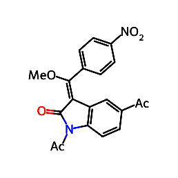 CO/C(=C1\C(=O)N(C(C)=O)c2ccc(C(C)=O)cc21)c1ccc([N+](=O)[O-])cc1